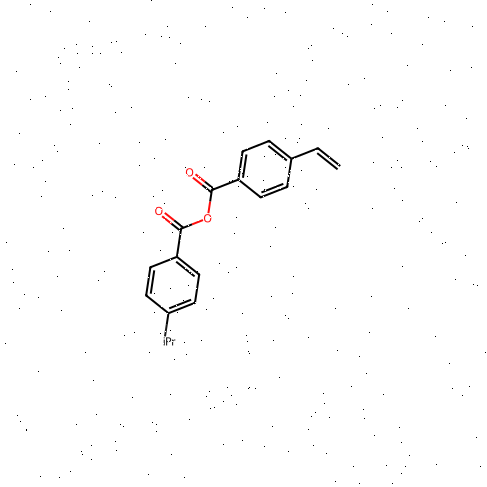 C=Cc1ccc(C(=O)OC(=O)c2ccc(C(C)C)cc2)cc1